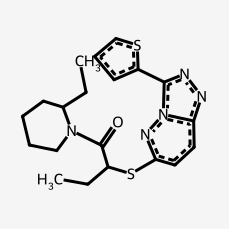 CCC(Sc1ccc2nnc(-c3cccs3)n2n1)C(=O)N1CCCCC1CC